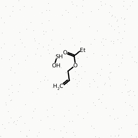 C=CCOC(=O)CC.OS